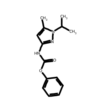 Cc1cc(NC(=O)Oc2ccccc2)nn1C(C)C